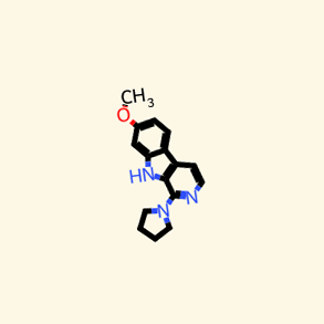 COc1ccc2c(c1)[nH]c1c(N3CCCC3)nccc12